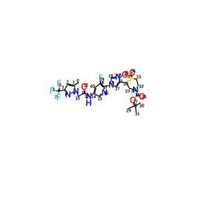 Cc1cc(C(F)(F)F)nn1CC(=O)Nc1cnc(-n2cnc(C3CN(C(=O)OC(C)(C)C)CCS3(=O)=O)c2)c(F)c1